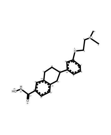 CN(C)CCOc1cccc(C2CCc3cc(C(=O)NO)ccc3C2)c1